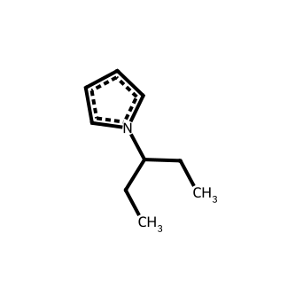 CCC(CC)n1cccc1